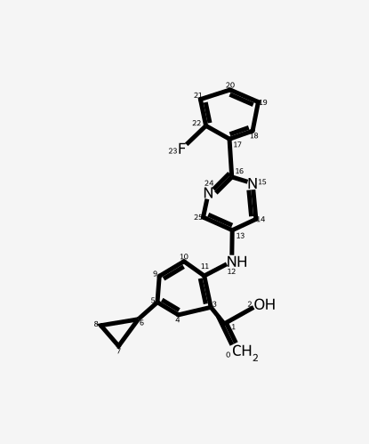 C=C(O)c1cc(C2CC2)ccc1Nc1cnc(-c2ccccc2F)nc1